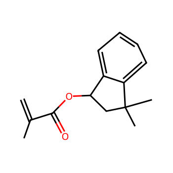 C=C(C)C(=O)OC1CC(C)(C)c2ccccc21